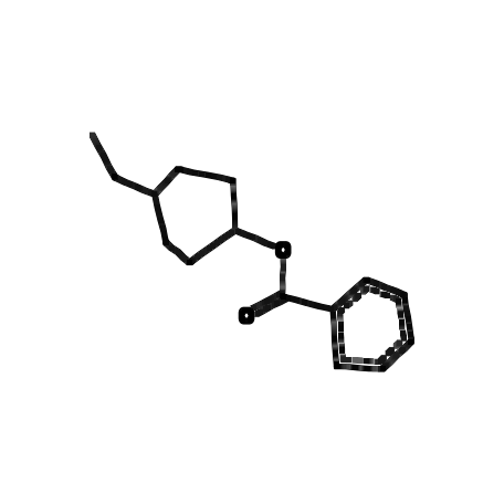 CCC1CCC(OC(=O)c2ccccc2)CC1